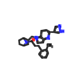 Cc1ccccc1CCC(=O)N1C2CCC1C(Cn1ccc3nc(-c4cn[nH]c4)ccc31)C2